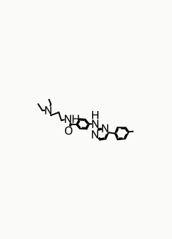 CCN(CC)CCCNC(=O)c1ccc(Nc2nccc(-c3ccc(C)cc3)n2)cc1